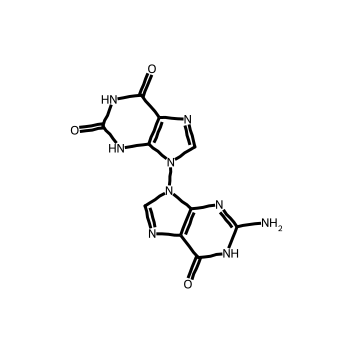 Nc1nc2c(ncn2-n2cnc3c(=O)[nH]c(=O)[nH]c32)c(=O)[nH]1